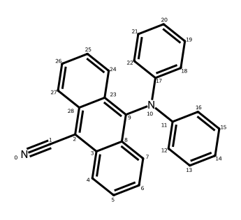 N#Cc1c2ccccc2c(N(c2ccccc2)c2ccccc2)c2ccccc12